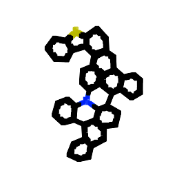 c1ccc(N(c2ccc(-c3cccc4sc5ccccc5c34)cc2)c2ccccc2-c2cc3ccccc3c3ccccc23)c(-c2cccc3ccccc23)c1